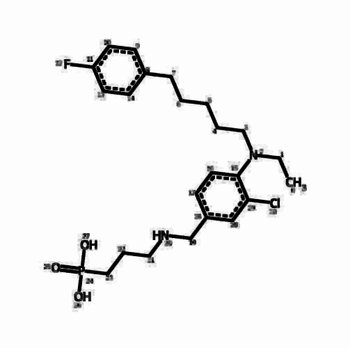 CCN(CCCCCc1ccc(F)cc1)c1ccc(CNCCCP(=O)(O)O)cc1Cl